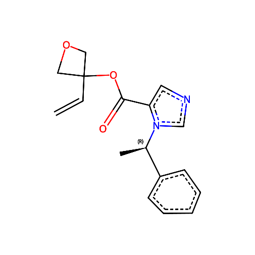 C=CC1(OC(=O)c2cncn2[C@H](C)c2ccccc2)COC1